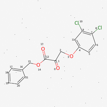 O=C(COc1ccc(Cl)c(Cl)c1)C(=O)OCc1ccccc1